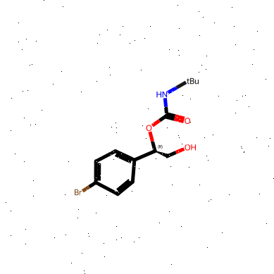 CC(C)(C)NC(=O)O[C@@H](CO)c1ccc(Br)cc1